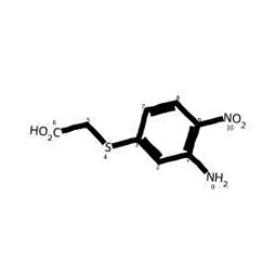 Nc1cc(SCC(=O)O)ccc1[N+](=O)[O-]